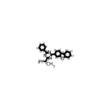 CC(C)C(C)c1nc(-c2ccccc2)nc(-c2ccc3c(c2)oc2ccccc23)n1